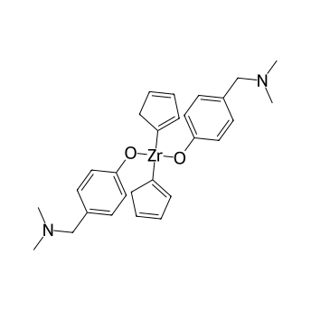 CN(C)Cc1ccc([O][Zr]([O]c2ccc(CN(C)C)cc2)([C]2=CC=CC2)[C]2=CC=CC2)cc1